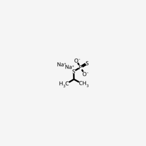 CC(C)SP([O-])([O-])=S.[Na+].[Na+]